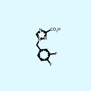 O=C(O)c1ncn(Cc2ccc(F)c(F)c2)n1